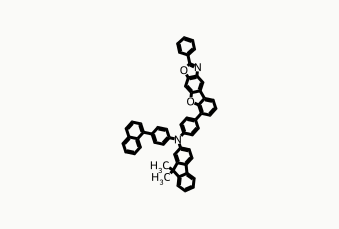 CC1(C)c2ccccc2-c2ccc(N(c3ccc(-c4cccc5ccccc45)cc3)c3ccc(-c4cccc5c4oc4cc6oc(-c7ccccc7)nc6cc45)cc3)cc21